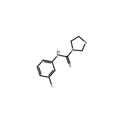 S=C(Nc1cccc(I)c1)N1CCSC1